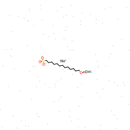 CCCCCCCCCCOCCCCCCCCCCCCCS(=O)(=O)[O-].[Na+]